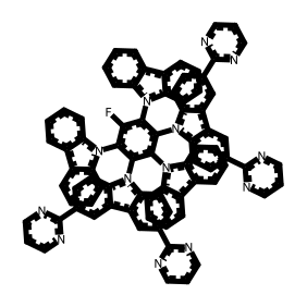 Fc1c(-n2c3ccccc3c3ccccc32)c(-n2c3ccc(-c4ncccn4)cc3c3cc(-c4ncccn4)ccc32)c(-n2c3ccccc3c3ccccc32)c(-n2c3ccc(-c4ncccn4)cc3c3cc(-c4ncccn4)ccc32)c1-n1c2ccccc2c2ccccc21